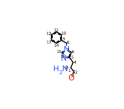 N[C@@H]([C]=O)Cc1cn(Cc2ccccc2)cn1